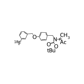 CC(=O)[C@@H](C)N(Cc1ccc(OCc2cccc([18F])c2)cc1)C(=O)OC(C)(C)C